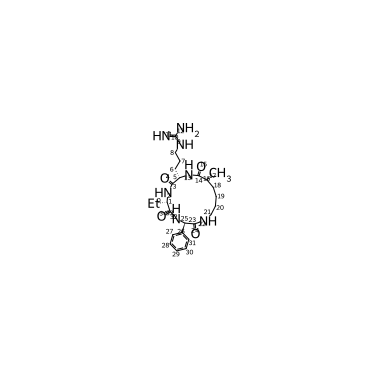 CC[C@@H]1NC(=O)[C@H](CCCNC(=N)N)NC(=O)[C@@H](C)CCCCNC(=O)[C@@H](c2ccccc2)NC1=O